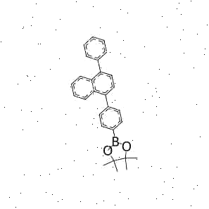 CC1(C)OB(c2ccc(-c3ccc(-c4ccccc4)c4ccccc34)cc2)OC1(C)C